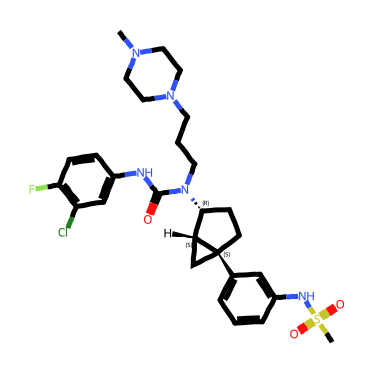 CN1CCN(CCCN(C(=O)Nc2ccc(F)c(Cl)c2)[C@@H]2CC[C@]3(c4cccc(NS(C)(=O)=O)c4)C[C@H]23)CC1